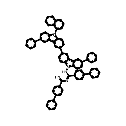 N=C(/N=C(\Nn1c2ccc(-c3ccccc3)cc2c2cc(-c3ccc4c(c3)c3cc(-c5ccccc5)ccc3n4-c3cccc4ccccc34)ccc21)c1ccc(-c2ccccc2)cc1)c1ccc(-c2ccccc2)cc1